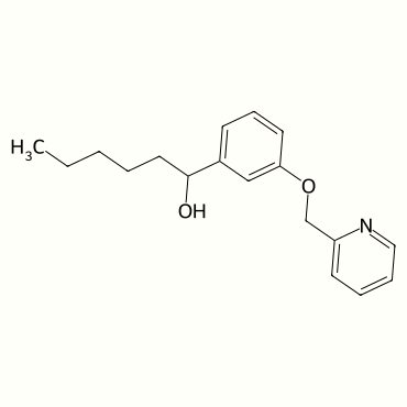 CCCCCC(O)c1cccc(OCc2ccccn2)c1